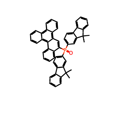 CC1(C)c2ccccc2-c2ccc(P(=O)(c3ccc4c(c3)C(C)(C)c3ccccc3-4)c3cc4c5ccccc5c5ccccc5c4c4ccccc34)cc21